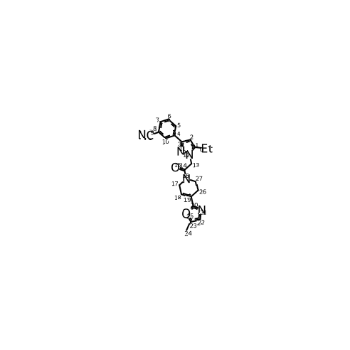 CCc1cc(-c2cccc(C#N)c2)nn1CC(=O)N1CC=C(c2ncc(C)o2)CC1